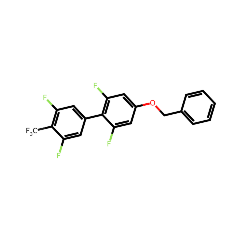 Fc1cc(OCc2ccccc2)cc(F)c1-c1cc(F)c(C(F)(F)F)c(F)c1